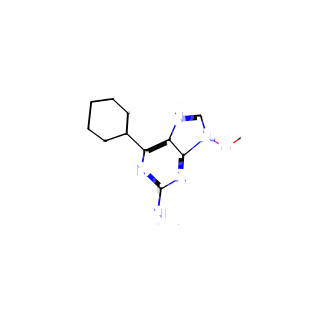 COn1cnc2c(C3CCCCC3)nc(N)nc21